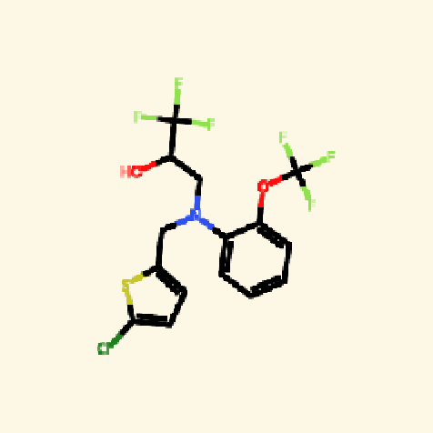 OC(CN(Cc1ccc(Cl)s1)c1ccccc1OC(F)(F)F)C(F)(F)F